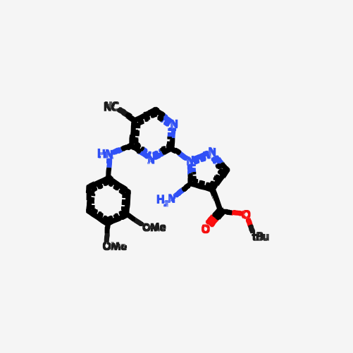 COc1ccc(Nc2nc(-n3ncc(C(=O)OC(C)(C)C)c3N)ncc2C#N)cc1OC